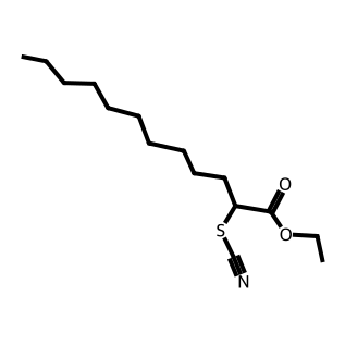 CCCCCCCCCCC(SC#N)C(=O)OCC